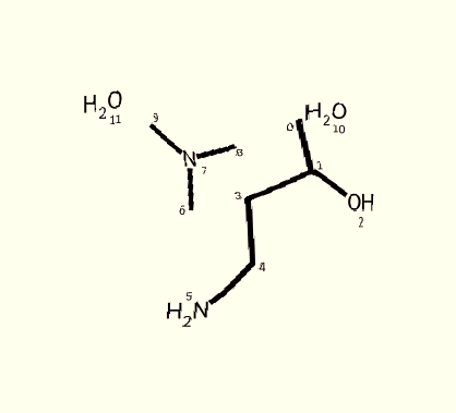 CC(O)CCN.CN(C)C.O.O